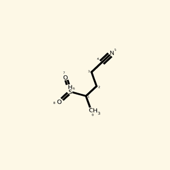 CC(CCC#N)[SH](=O)=O